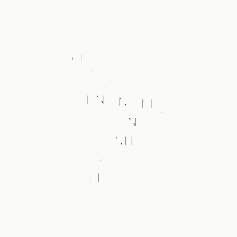 Nc1nc(Nc2cccc(Cl)c2)cc(Nc2cccc(Cl)c2)n1